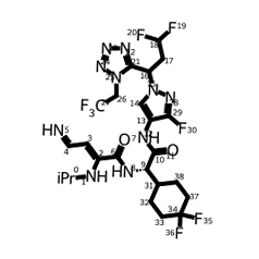 CC(C)N/C(=C\C=N)C(=O)N[C@H](C(=O)Nc1cn(C(CC(F)F)c2nnnn2CC(F)(F)F)nc1F)C1CCC(F)(F)CC1